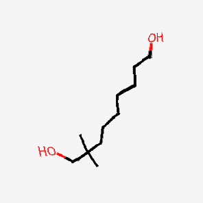 CC(C)(CO)CCCCCCCO